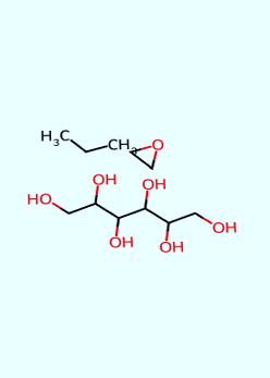 C1CO1.CCC.OCC(O)C(O)C(O)C(O)CO